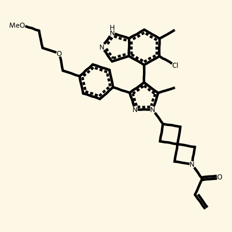 C=CC(=O)N1CC2(CC(n3nc(-c4ccc(COCCOC)cc4)c(-c4c(Cl)c(C)cc5[nH]ncc45)c3C)C2)C1